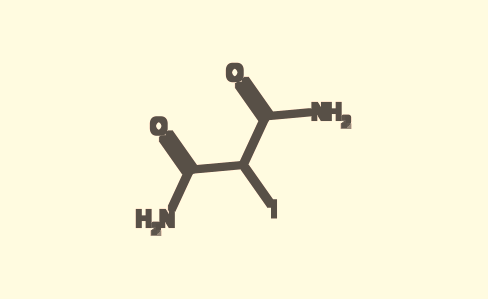 NC(=O)C(I)C(N)=O